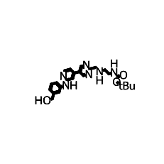 CC(C)(C)OC(=O)NCCNCc1ncc(-c2ccnc(Nc3cccc(CO)c3)c2)cn1